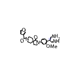 COc1cc(N2CCC3(CCN(C(=O)c4ccoc4)CC3)C2=O)ccc1/C(C=N)=C/N